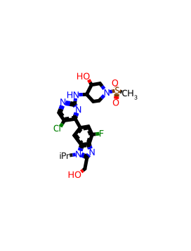 CC(C)n1c(CO)nc2c(F)cc(-c3nc(NC4CCN(S(C)(=O)=O)CC4O)ncc3Cl)cc21